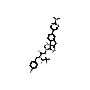 C[C@H](N(Cc1ccc(F)cc1)C(=O)CN1CO[C@]2(C(=O)Cc3cc(-c4cnc(N(C)C)nc4)ccc32)C1=O)C(F)(F)F